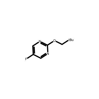 CC(C)(C)COc1ncc(F)cn1